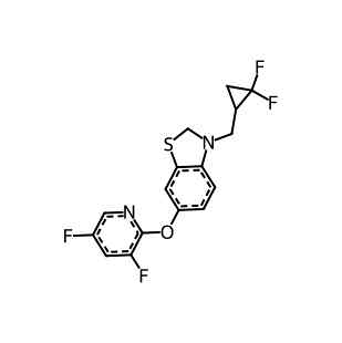 Fc1cnc(Oc2ccc3c(c2)SCN3CC2CC2(F)F)c(F)c1